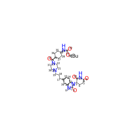 Cn1c(=O)n(C2CCC(=O)NC2=O)c2ccc(CCCN3CCN(C(=O)C4CCC(NC(=O)OC(C)(C)C)CC4)CC3)cc21